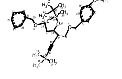 COc1ccc(COC[C@H](C#C[Si](C)(C)C)C(CCOCc2ccccc2)O[Si](C)(C)C(C)(C)C)cc1